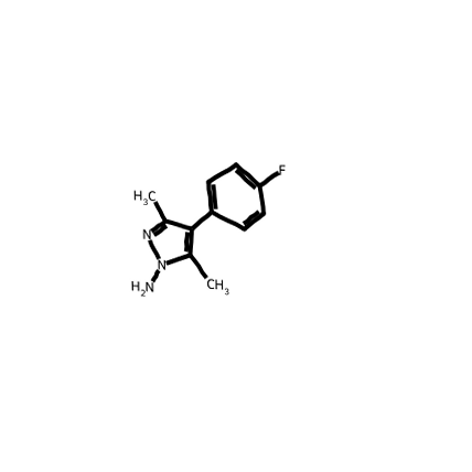 Cc1nn(N)c(C)c1-c1ccc(F)cc1